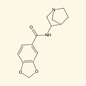 O=C(NC1CN2CCC1C2)c1ccc2c(c1)OCO2